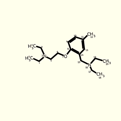 CCN(CC)CCOc1ccc(C)cc1CN(CC)CC